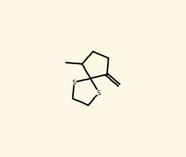 C=C1CCC(C)C12SCCS2